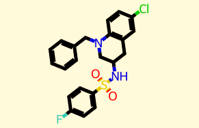 O=S(=O)(NC1Cc2cc(Cl)ccc2N(Cc2ccccc2)C1)c1ccc(F)cc1